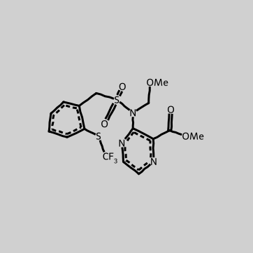 COCN(c1nccnc1C(=O)OC)S(=O)(=O)Cc1ccccc1SC(F)(F)F